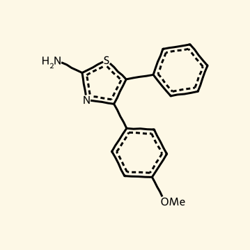 COc1ccc(-c2nc(N)sc2-c2ccccc2)cc1